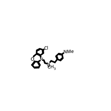 CNc1ccc(CCN(C)CCN2c3cc(Cl)ccc3COc3ccccc32)cc1